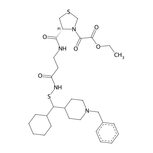 CCOC(=O)C(=O)N1CSC[C@H]1C(=O)NCCC(=O)NSC(C1CCCCC1)C1CCN(Cc2ccccc2)CC1